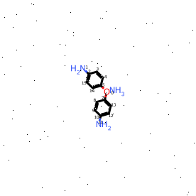 N.Nc1ccc(Oc2ccc(N)cc2)cc1